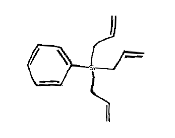 C=CC[Si](CC=C)(CC=C)c1[c]cccc1